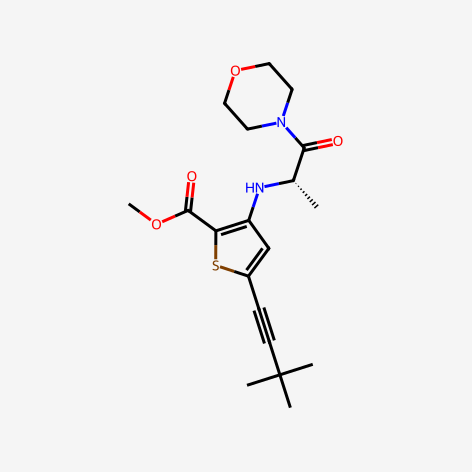 COC(=O)c1sc(C#CC(C)(C)C)cc1N[C@@H](C)C(=O)N1CCOCC1